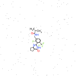 CC(C)C(=O)NCc1ccc(C(F)(F)F)c(-c2nc3c(c(=O)[nH]2)CCC3)c1F